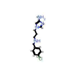 Nc1cn(CCCNCc2ccc(Cl)cc2)cn1